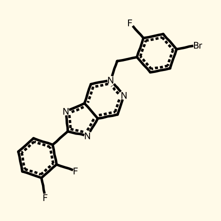 Fc1cc(Br)ccc1Cn1cc2nc(-c3cccc(F)c3F)nc-2cn1